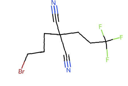 N#CC(C#N)(CCCBr)CCC(F)(F)F